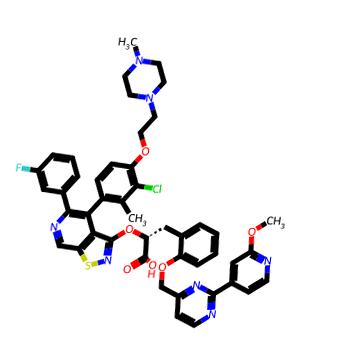 COc1cc(-c2nccc(COc3ccccc3C[C@@H](Oc3nsc4cnc(-c5cccc(F)c5)c(-c5ccc(OCCN6CCN(C)CC6)c(Cl)c5C)c34)C(=O)O)n2)ccn1